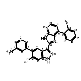 Nc1cncc(-c2cc3c(-c4nc5c(-c6ccccc6F)ccnc5[nH]4)n[nH]c3cc2F)c1